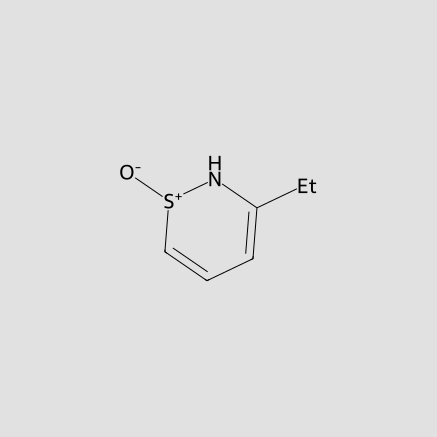 CCC1=CC=C[S+]([O-])N1